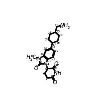 Cn1c(=O)n(C2CCC(=O)NC2=O)c2ccc(C3CCC(CN)CC3)cc21